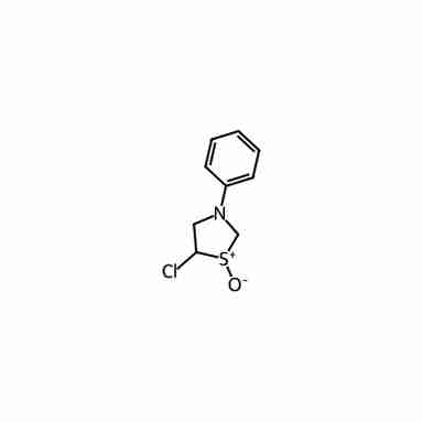 [O-][S+]1CN(c2ccccc2)CC1Cl